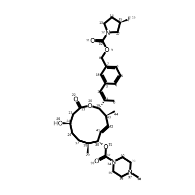 C/C(=C\c1cccc(COC(=O)N2CC[C@@H](F)C2)c1)[C@H]1OC(=O)C[C@H](O)CC[C@H](C)[C@@H](OC(=O)N2CCN(C)CC2)/C=C/[C@@H]1C